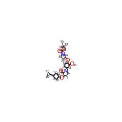 COc1cc(N2CC=C(Oc3ccc(C4CC4)cc3)C2=O)ccc1O[C@@H]1CCN(C(=O)OC(C)(C)C)C1